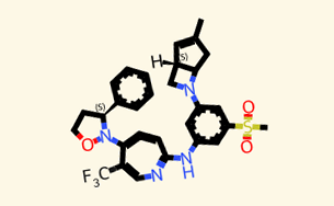 CC1=C[C@H]2CN(c3cc(NC4=NC=C(C(F)(F)F)C(N5OCC[C@H]5c5ccccc5)=C=C4)cc(S(C)(=O)=O)c3)C2C1